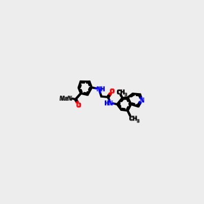 CNC(=O)c1cccc(NCC(=O)Nc2cc(C)c3cnccc3c2C)c1